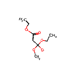 CCOC(=O)CC([O])(OC)OCC